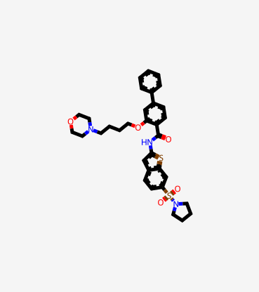 O=C(Nc1cc2ccc(S(=O)(=O)N3CCCC3)cc2s1)c1ccc(-c2ccccc2)cc1OCCCCN1CCOCC1